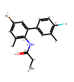 Cc1cc(-c2cc(Br)cc(C)c2NC(=O)CC(C)(C)C)ccc1F